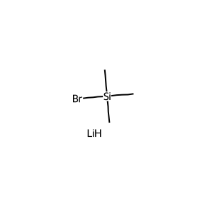 C[Si](C)(C)Br.[LiH]